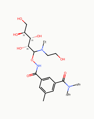 CCCN(CCC)C(=O)c1cc(C)cc(C(=O)NOC([C@H](O)[C@@H](O)[C@@H](O)CO)N(CC)CCO)c1